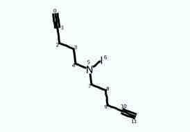 C#CCCCN(I)CCCC#C